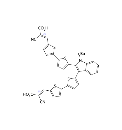 CCCCn1c(-c2ccc(-c3ccc(/C=C(\C#N)C(=O)O)s3)s2)c(-c2ccc(-c3ccc(/C=C(\C#N)C(=O)O)s3)s2)c2ccccc21